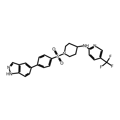 O=S(=O)(c1ccc(-c2ccc3[nH]ncc3c2)cc1)N1CCC(Nc2ccc(C(F)(F)F)cn2)CC1